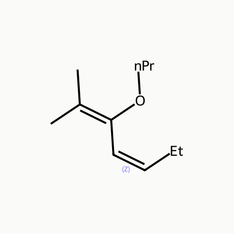 CC/C=C\C(OCCC)=C(C)C